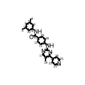 Cc1cc(C)cc(NC(=O)c2ccc(Nc3ncc(C)c(-c4ccncc4)n3)cc2)c1